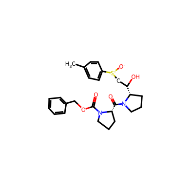 Cc1ccc([S+]([O-])CC(O)[C@@H]2CCCN2C(=O)[C@@H]2CCCN2C(=O)OCc2ccccc2)cc1